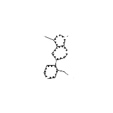 CCc1cnccc1-c1cnc2c(c1)c(N)nn2C